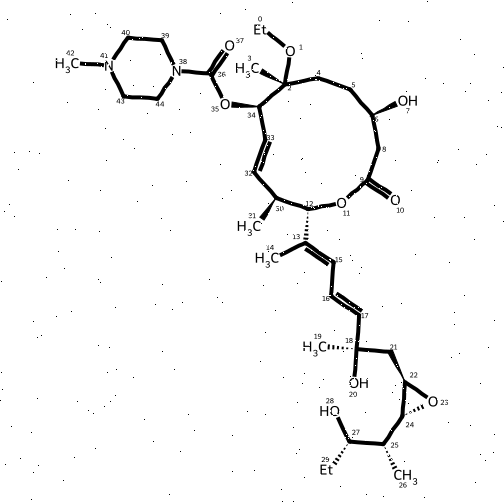 CCO[C@]1(C)CC[C@@H](O)CC(=O)O[C@H](/C(C)=C/C=C/[C@](C)(O)C[C@H]2O[C@@H]2[C@H](C)[C@@H](O)CC)[C@@H](C)/C=C/[C@H]1OC(=O)N1CCN(C)CC1